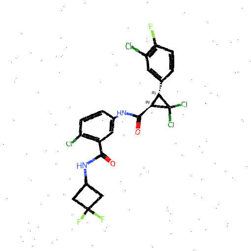 O=C(NC1CC(F)(F)C1)c1cc(NC(=O)[C@H]2[C@H](c3ccc(F)c(Cl)c3)C2(Cl)Cl)ccc1Cl